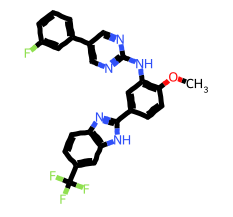 COc1ccc(-c2nc3ccc(C(F)(F)F)cc3[nH]2)cc1Nc1ncc(-c2cccc(F)c2)cn1